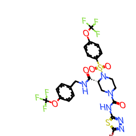 O=C(NCc1ccc(OC(F)(F)F)cc1)[C@H]1CN(C(=O)Nc2nnc(Br)s2)CCN1S(=O)(=O)c1ccc(OC(F)(F)F)cc1